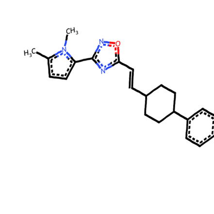 Cc1ccc(-c2noc(C=CC3CCC(c4cc[c]cc4)CC3)n2)n1C